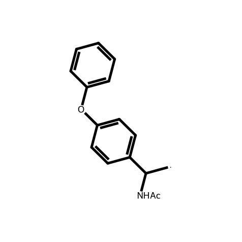 [CH2]C(NC(C)=O)c1ccc(Oc2ccccc2)cc1